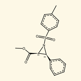 COC(=O)[C@@H]1[C@H](c2ccccc2)N1S(=O)(=O)c1ccc(C)cc1